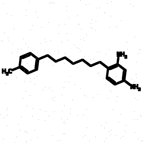 Cc1ccc(CCCCCCCc2ccc(N)cc2N)cc1